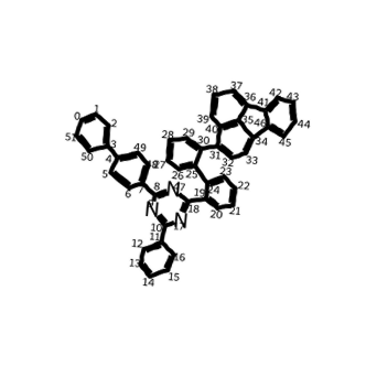 c1ccc(-c2ccc(-c3nc(-c4ccccc4)nc(-c4ccccc4-c4ccccc4-c4ccc5c6c(cccc46)-c4ccccc4-5)n3)cc2)cc1